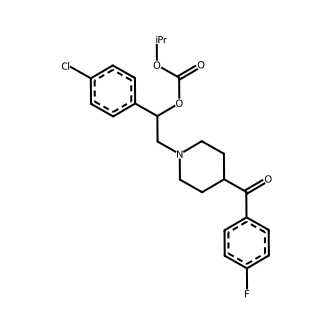 CC(C)OC(=O)OC(CN1CCC(C(=O)c2ccc(F)cc2)CC1)c1ccc(Cl)cc1